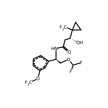 O=C(C[C@@H](O)C1(C(F)(F)F)CC1)N[C@@H](COC(F)F)c1cccc(OC(F)(F)F)c1